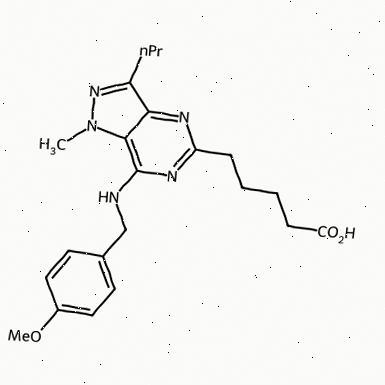 CCCc1nn(C)c2c(NCc3ccc(OC)cc3)nc(CCCCC(=O)O)nc12